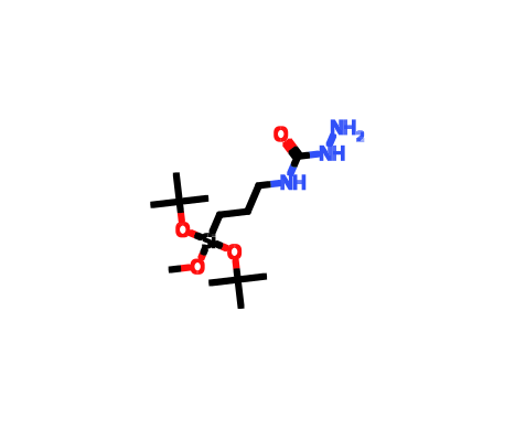 CO[Si](CCCNC(=O)NN)(OC(C)(C)C)OC(C)(C)C